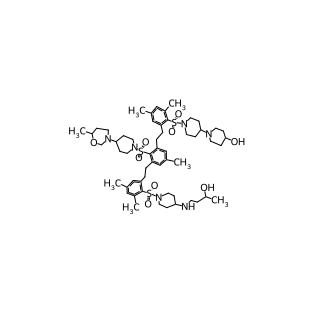 Cc1cc(C)c(S(=O)(=O)N2CCC(NCCC(C)O)CC2)c(CCc2cc(C)cc(CCc3cc(C)cc(C)c3S(=O)(=O)N3CCC(N4CCC(O)CC4)CC3)c2S(=O)(=O)N2CCC(N3CCC(C)OC3)CC2)c1